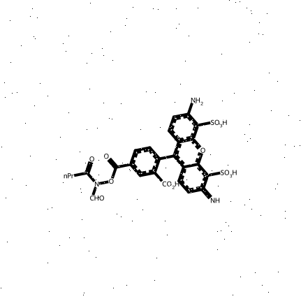 CCCC(=O)N(C=O)OC(=O)c1ccc(-c2c3ccc(=N)c(S(=O)(=O)O)c-3oc3c(S(=O)(=O)O)c(N)ccc23)c(C(=O)O)c1